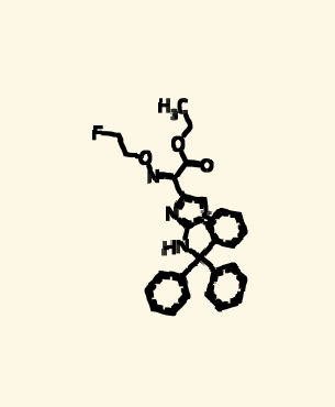 CCOC(=O)C(=NOCCF)c1csc(NC(c2ccccc2)(c2ccccc2)c2ccccc2)n1